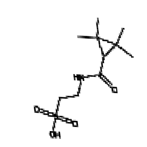 CC1(C)C(C(=O)NCCS(=O)(=O)O)C1(C)C